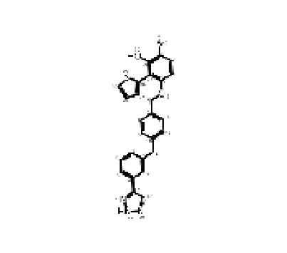 CC(=O)c1ccc(OCc2ccc(Cc3cccc(-c4nn[nH]n4)c3)cc2)c(-c2cccs2)c1O